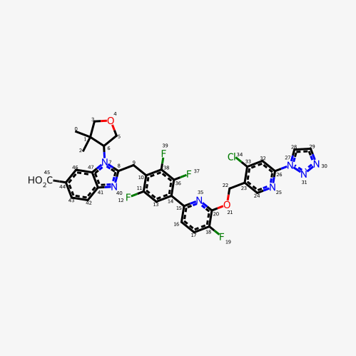 CC1(C)COCC1n1c(Cc2c(F)cc(-c3ccc(F)c(OCc4cnc(-n5ccnn5)cc4Cl)n3)c(F)c2F)nc2ccc(C(=O)O)cc21